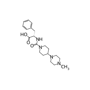 CN1CCN(C2CCN(C(=O)N[C@@H](Cc3ccccc3)C(=O)O)CC2)CC1